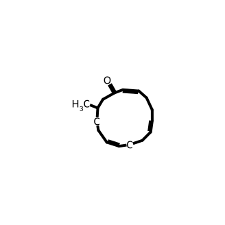 CC1CCC=CCCC=CCCC=CC(=O)C1